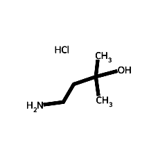 CC(C)(O)CCN.Cl